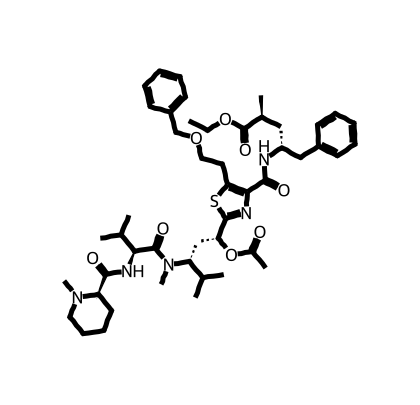 CCOC(=O)[C@@H](C)C[C@H](Cc1ccccc1)NC(=O)c1nc([C@@H](C[C@H](C(C)C)N(C)C(=O)[C@@H](NC(=O)[C@H]2CCCCN2C)C(C)C)OC(C)=O)sc1CCOCc1ccccc1